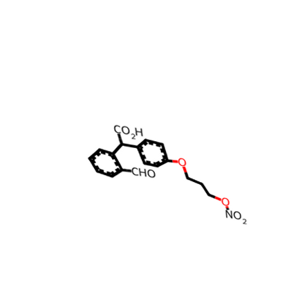 O=Cc1ccccc1C(C(=O)O)c1ccc(OCCCO[N+](=O)[O-])cc1